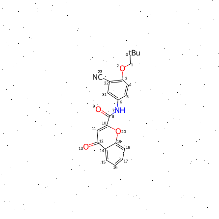 CC(C)(C)COc1ccc(NC(=O)c2cc(=O)c3ccccc3o2)cc1C#N